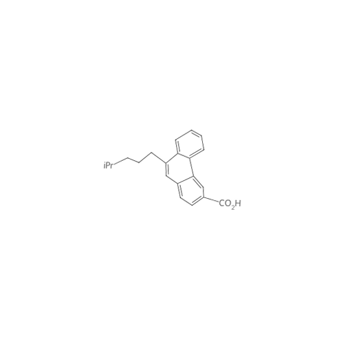 CC(C)CCCc1cc2ccc(C(=O)O)cc2c2ccccc12